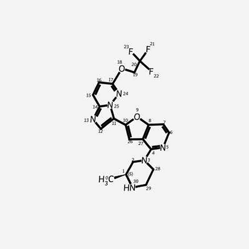 C[C@H]1CN(c2nccc3oc(-c4cnc5ccc(OCC(F)(F)F)nn45)cc23)CCN1